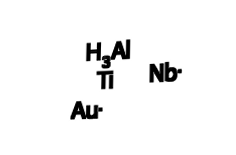 [AlH3].[Au].[Nb].[Ti]